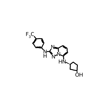 O[C@@H]1CC[C@H](Nc2cccc3nc(Nc4ccc(C(F)(F)F)cc4)nn23)C1